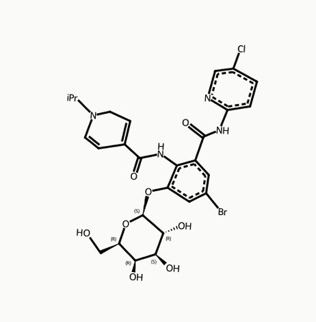 CC(C)N1C=CC(C(=O)Nc2c(O[C@@H]3O[C@H](CO)[C@H](O)[C@H](O)[C@H]3O)cc(Br)cc2C(=O)Nc2ccc(Cl)cn2)=CC1